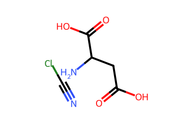 N#CCl.NC(CC(=O)O)C(=O)O